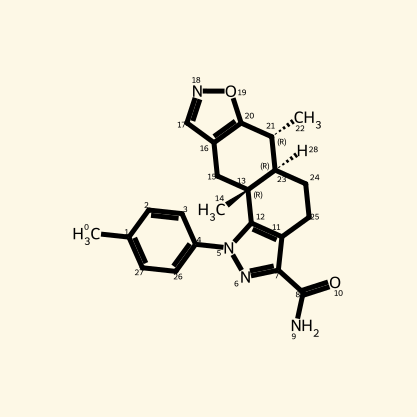 Cc1ccc(-n2nc(C(N)=O)c3c2[C@]2(C)Cc4cnoc4[C@H](C)[C@H]2CC3)cc1